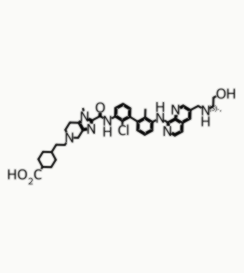 Cc1c(Nc2nccc3cc(CN[C@@H](C)CO)cnc23)cccc1-c1cccc(NC(=O)c2nc3c(n2C)CCN(CCC2CCC(C(=O)O)CC2)C3)c1Cl